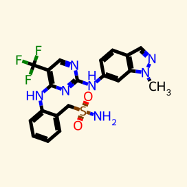 Cn1ncc2ccc(Nc3ncc(C(F)(F)F)c(Nc4ccccc4CS(N)(=O)=O)n3)cc21